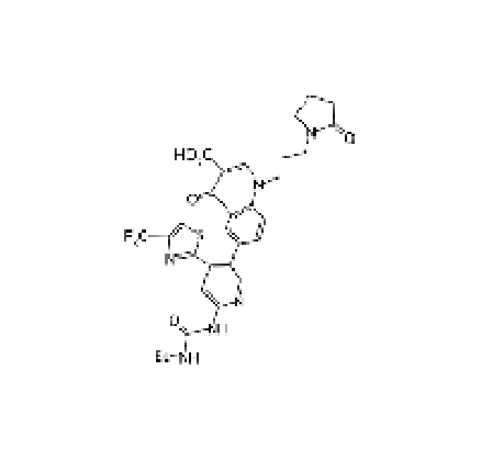 CCNC(=O)Nc1cc(-c2nc(C(F)(F)F)cs2)c(-c2ccc3c(c2)c(=O)c(C(=O)O)cn3CCCN2CCCC2=O)cn1